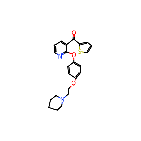 O=C(c1cccs1)c1cccnc1Oc1ccc(OCCN2CCCCC2)cc1